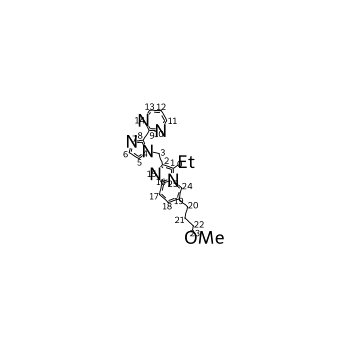 CCc1c(Cn2ccnc2-c2ncccn2)nc2ccc(CCCOC)cn12